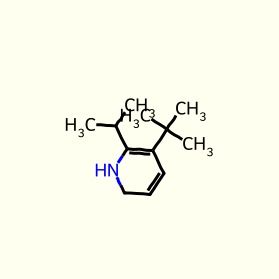 CC(C)C1=C(C(C)(C)C)C=CCN1